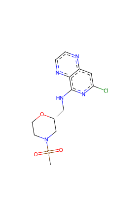 CS(=O)(=O)N1CCO[C@H](CNc2nc(Cl)cc3nccnc23)C1